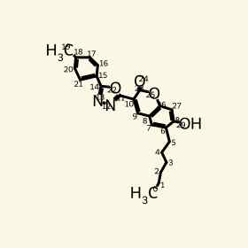 CCCCCCc1cc2cc(-c3nnc(-c4ccc(C)cc4)o3)c(=O)oc2cc1O